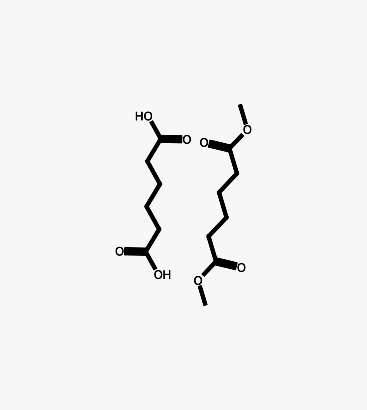 COC(=O)CCCCC(=O)OC.O=C(O)CCCCC(=O)O